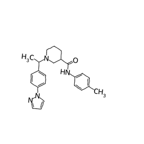 Cc1ccc(NC(=O)C2CCCN(C(C)c3ccc(-n4cccn4)cc3)C2)cc1